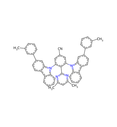 Cc1cccc(-c2ccc3c4ccccc4n(-c4cc(C#N)cc(-n5c6ccccc6c6ccc(-c7cccc(C)c7)cc65)c4-c4nc(C)cc(C)n4)c3c2)c1